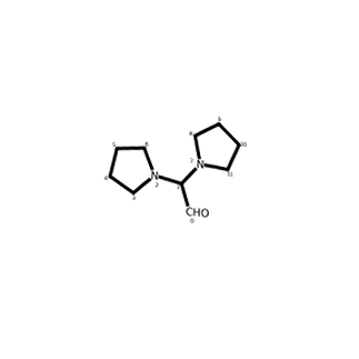 O=CC(N1CCCC1)N1CCCC1